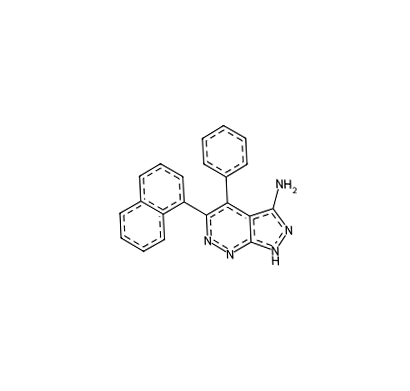 Nc1n[nH]c2nnc(-c3cccc4ccccc34)c(-c3ccccc3)c12